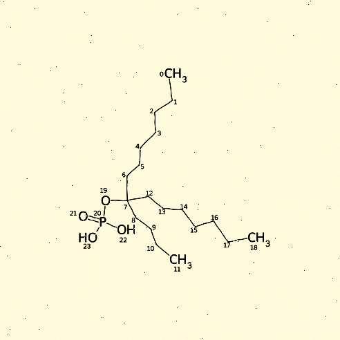 CCCCCCCC(CCCC)(CCCCCCC)OP(=O)(O)O